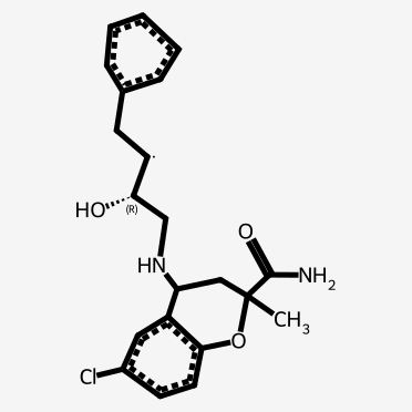 CC1(C(N)=O)CC(NC[C@H](O)[CH]Cc2ccccc2)c2cc(Cl)ccc2O1